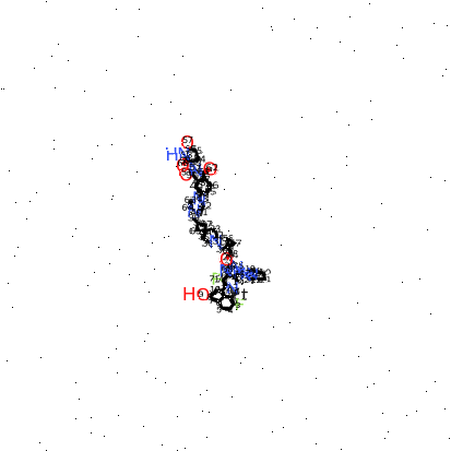 CCc1c(F)ccc2cc(O)cc(-c3ncc4c(N5CC6CCC(C5)N6)nc(OCC5(CN6CCC7(CC6)CC(CN6CCN(c8ccc9c(c8)C(=O)N(C8CCC(=O)NC8=O)C9=O)CC6)C7)CC5)nc4c3F)c12